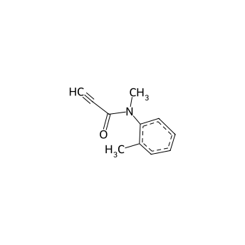 C#CC(=O)N(C)c1ccccc1C